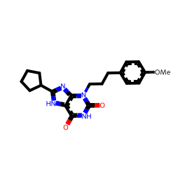 COc1ccc(CCCn2c(=O)[nH]c(=O)c3[nH]c(C4CCCC4)nc32)cc1